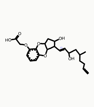 C=CCCC(C)CC(O)/C=C/C1C(O)CC2Oc3c(OCC(=O)O)cccc3OC21